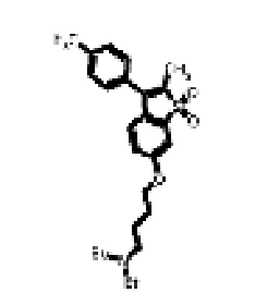 CCN(CC)CCCCOc1ccc2c(c1)S(=O)(=O)C(C)=C2c1ccc(C(F)(F)F)cc1